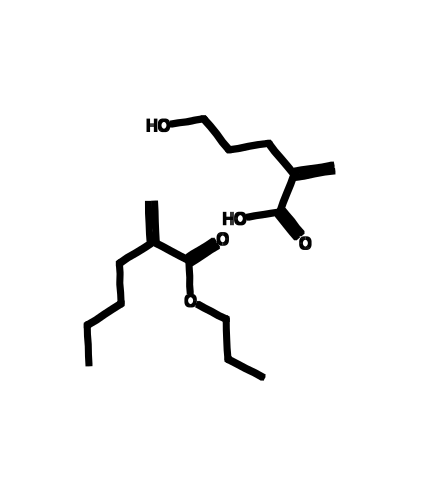 C=C(CCCC)C(=O)OCCC.C=C(CCCO)C(=O)O